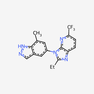 CCc1nc2ccc(C(F)(F)F)nc2n1-c1cc(C)c2[nH]ncc2c1